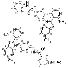 CC(=O)Nc1cccc(C(=O)NCc2ccc(-n3c(-c4cccnc4N)nc4ccc(C)nc43)cc2)c1.Cc1cnc2c(c1)nc(-c1cccnc1N)n2-c1ccc(CC(=O)Nc2ccccc2)cc1